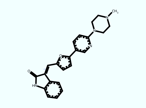 CN1CCN(c2ccc(-c3ccc(/C=C4/C(=O)Nc5ccccc54)o3)cn2)CC1